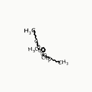 CCCCCCOCCOC(C)Oc1ccccc1OC(C)OCCOCCCCCC